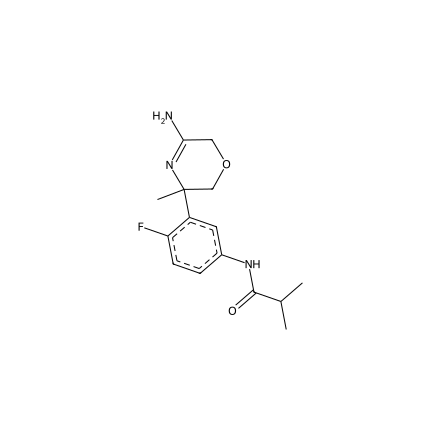 CC(C)C(=O)Nc1ccc(F)c(C2(C)COCC(N)=N2)c1